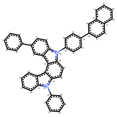 c1ccc(-c2ccc3c(c2)c2c4c5ccccc5n(-c5ccccc5)c4ccc2n3-c2ccc(-c3ccc4ccccc4c3)cc2)cc1